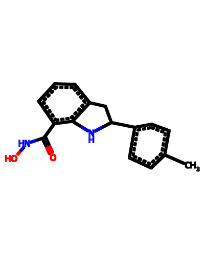 Cc1ccc(C2Cc3cccc(C(=O)NO)c3N2)cc1